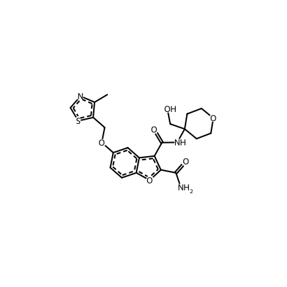 Cc1ncsc1COc1ccc2oc(C(N)=O)c(C(=O)NC3(CO)CCOCC3)c2c1